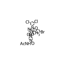 CC(=O)NC(=O)N1CCN(S(=O)(=O)c2cnc3n2[C@](C)(c2ccc(Br)cc2)C(=O)N3c2cc(Cl)cc(Cl)c2)CC1